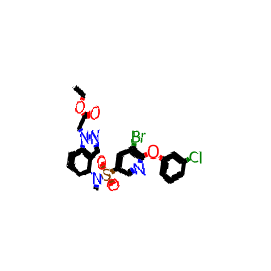 CCOC(=O)Cn1ncc2c1CCC[C@H]2N(C)S(=O)(=O)c1cnc(Oc2cccc(Cl)c2)c(Br)c1